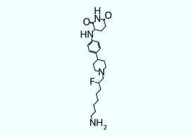 NCCCCCCC(F)CN1CCC(c2ccc(NC3CCC(=O)NC3=O)cc2)CC1